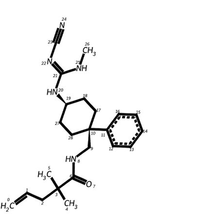 C=CCC(C)(C)C(=O)NC[C@]1(c2ccccc2)CC[C@H](N/C(=N/C#N)NC)CC1